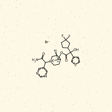 NC(=O)C(c1cncnc1)[N+]12CCC(CC1)[C@@H](OC(=O)C(O)(c1ccsc1)C1CCC(F)(F)C1)C2.[Br-]